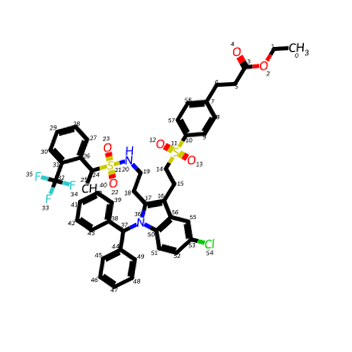 CCOC(=O)CCc1ccc(S(=O)(=O)CCc2c(CCNS(=O)(=O)C(C)c3ccccc3C(F)(F)F)n(C(c3ccccc3)c3ccccc3)c3ccc(Cl)cc23)cc1